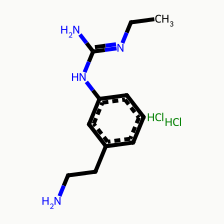 CCN=C(N)Nc1cccc(CCN)c1.Cl.Cl